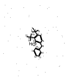 CC(C)(C)c1ccc(Cc2ccccc2)c(O)c1C(C)(C)C